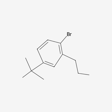 CCCc1cc(C(C)(C)C)ccc1Br